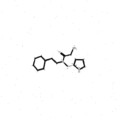 NCC(=O)N(CCC1CCCCC1)C[C@@H]1CCCN1